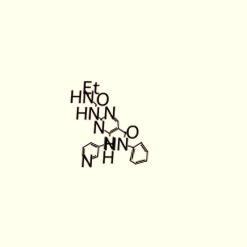 CCNC(=O)Nc1ncc(C(=O)Nc2ccccc2)c(Nc2cccnc2)n1